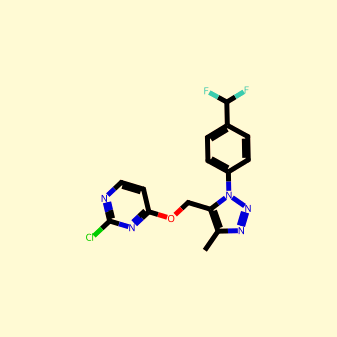 Cc1nnn(-c2ccc(C(F)F)cc2)c1COc1ccnc(Cl)n1